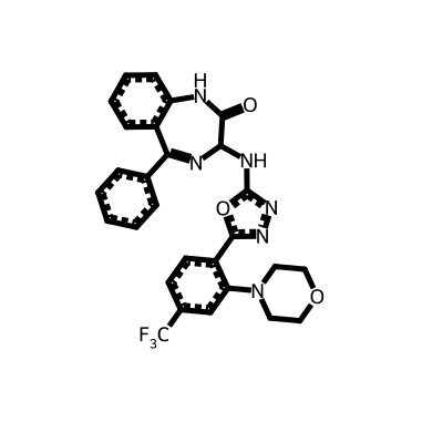 O=C1Nc2ccccc2C(c2ccccc2)=NC1Nc1nnc(-c2ccc(C(F)(F)F)cc2N2CCOCC2)o1